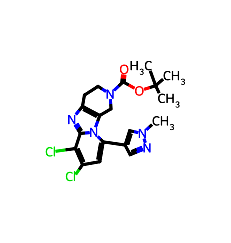 Cn1cc(-c2cc(Cl)c(Cl)c3nc4c(n23)CN(C(=O)OC(C)(C)C)CC4)cn1